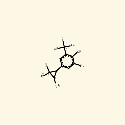 CC1C(c2cc(F)c(Cl)c(C(F)(F)F)c2)C1(Cl)Cl